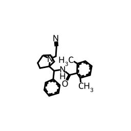 Cc1cccc(C)c1C(=O)NC(c1ccccc1)C12CCC(CC1)N2CC#N